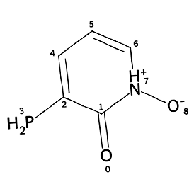 O=C1C(P)=CC=C[NH+]1[O-]